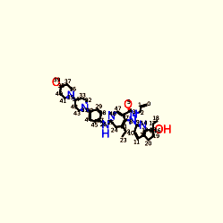 C=CCn1c(=O)c2c(n1-c1ccc3c(n1)[C@@](O)(CC)CC3)=C(CC)CC(Nc1ccc(N3CCC(N4CCC(=O)CC4)CC3)cc1)=NC=2